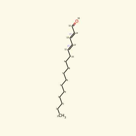 CCCCCCCCCCC/C=C/C=C/C=O